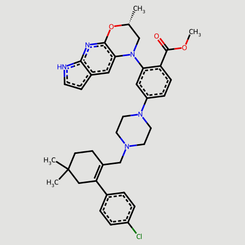 COC(=O)c1ccc(N2CCN(CC3=C(c4ccc(Cl)cc4)CC(C)(C)CC3)CC2)cc1N1C[C@@H](C)Oc2nc3[nH]ccc3cc21